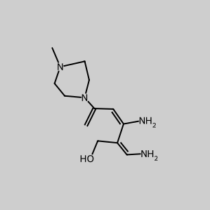 C=C(/C=C(N)\C(=C/N)CO)N1CCN(C)CC1